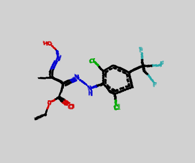 CCOC(=O)C(=NNc1c(Cl)cc(C(F)(F)F)cc1Cl)C(C)=NO